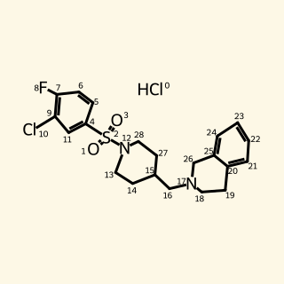 Cl.O=S(=O)(c1ccc(F)c(Cl)c1)N1CCC(CN2CCc3ccccc3C2)CC1